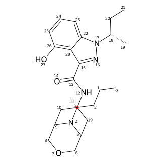 CCCCN1C2COCC1CC(NC(=O)c1nn([C@@H](C)CC)c3cccc(O)c13)C2